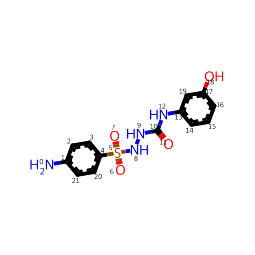 Nc1ccc(S(=O)(=O)NNC(=O)Nc2cccc(O)c2)cc1